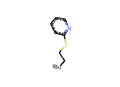 CCC(C)CCSc1ccccn1